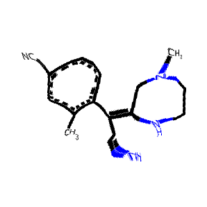 Cc1cc(C#N)ccc1/C(C=N)=C1\CN(C)CCN1